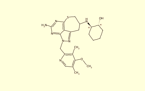 COc1c(C)cnc(Cn2nc3c4c(nc(N)nc42)SCC(N[C@@H]2CCCC[C@H]2O)C3)c1C